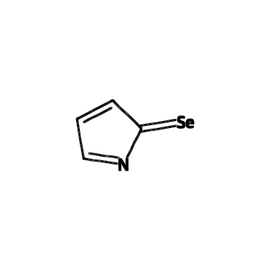 [Se]=C1C=CC=N1